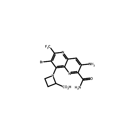 NC(=O)c1nc2c(N3CCC3C(=O)O)c(Br)c(C(F)(F)F)nc2cc1N